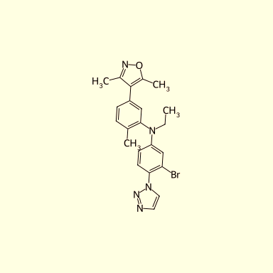 CCN(c1ccc(-n2ccnn2)c(Br)c1)c1cc(-c2c(C)noc2C)ccc1C